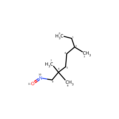 CCC(C)CCC(C)(C)CN=O